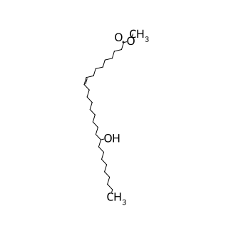 CCCCCCCCCC(O)CCCCCCCC/C=C\CCCCCCCC(=O)OC